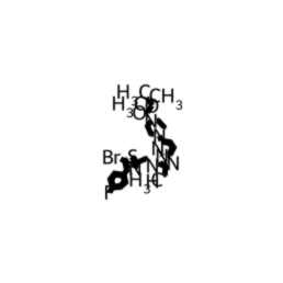 CCc1nc2ccc(N3CCN(C(=O)OC(C)(C)C)CC3)nn2c1NCc1nc(-c2ccc(F)cc2)c(Br)s1